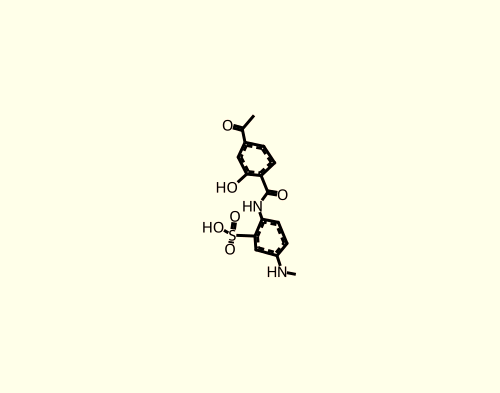 CNc1ccc(NC(=O)c2ccc(C(C)=O)cc2O)c(S(=O)(=O)O)c1